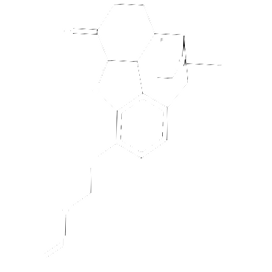 CN1CC[C@]23c4c5ccc(OCOP=O)c4O[C@@]2(C)C(=O)CC[C@H]3C1C5